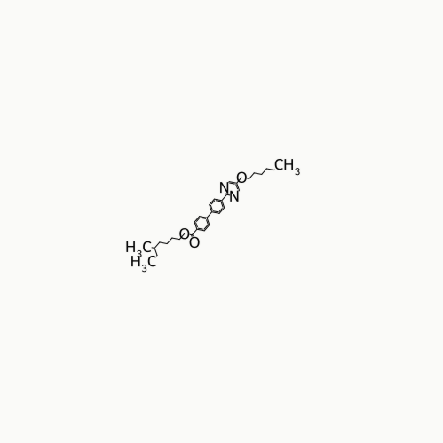 CCCCCCOc1cnc(-c2ccc(-c3ccc(C(=O)OCCCCC(C)CC)cc3)cc2)nc1